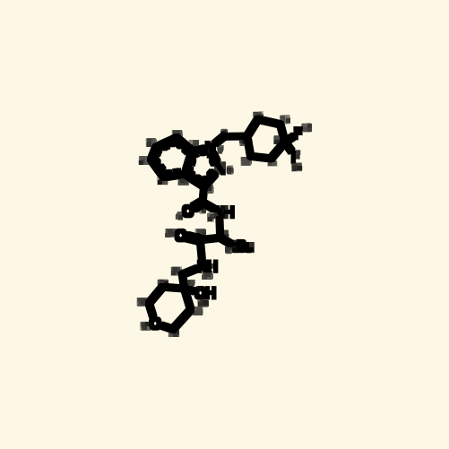 CC(C)(C)C(NC(=O)c1nn(CC2CCC(F)(F)CC2)c2ccccc12)C(=O)NCC1(O)CCOCC1